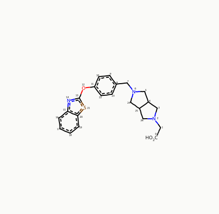 O=C(O)CN1CC2CN(Cc3ccc(Oc4nc5ccccc5s4)cc3)CC2C1